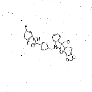 O=C(Nc1cc(F)ccc1F)c1ccc(CN2C(=O)C3(COc4cc5c(cc43)OCO5)c3ccccc32)cc1